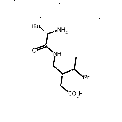 CCC(C)[C@H](N)C(=O)NCC(CC(=O)O)C(C)C(C)C